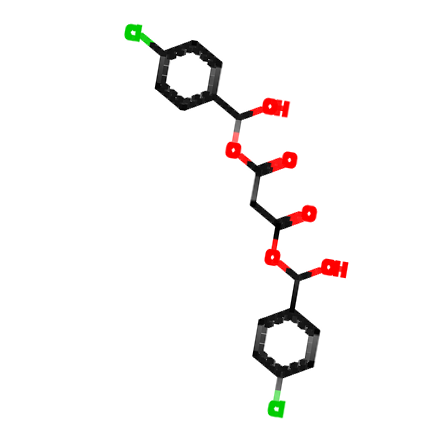 O=C(CC(=O)OC(O)c1ccc(Cl)cc1)OC(O)c1ccc(Cl)cc1